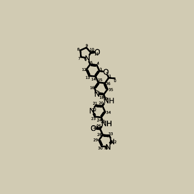 CC1Oc2cc(N3CCCC3=O)ccc2-c2cnc(Nc3cncc(NC(=O)c4ccnnc4)c3)cc21